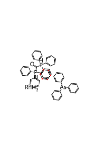 O=C([PH](c1ccccc1)(c1ccccc1)c1ccccc1)[PH](c1ccccc1)(c1ccccc1)c1ccccc1.[RhH3].c1ccc([As](c2ccccc2)c2ccccc2)cc1